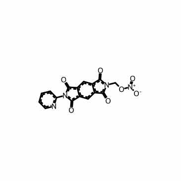 O=c1c2cc3c(=O)n(-c4ccccn4)c(=O)c3cc2c(=O)n1CO[N+](=O)[O-]